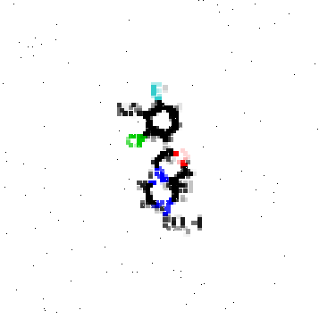 N#Cc1c(F)ccc([C@@H]2CN3CCN(C(=O)O)C[C@H]3CO2)c1Cl